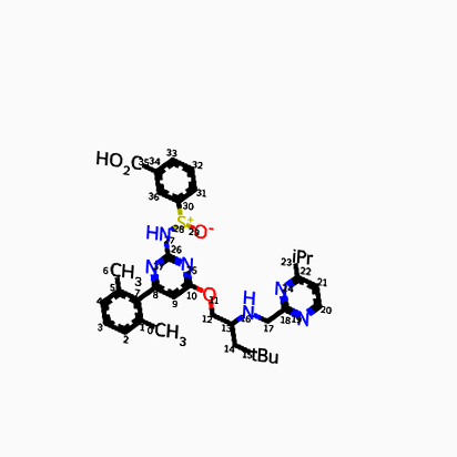 Cc1cccc(C)c1-c1cc(OCC(CC(C)(C)C)NCc2nccc(C(C)C)n2)nc(N[S+]([O-])c2cccc(C(=O)O)c2)n1